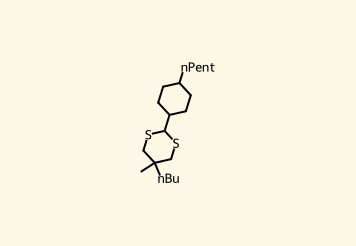 CCCCCC1CCC(C2SCC(C)(CCCC)CS2)CC1